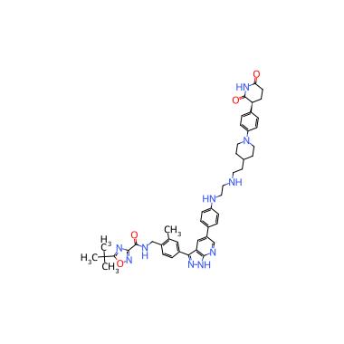 Cc1cc(-c2n[nH]c3ncc(-c4ccc(NCCNCCC5CCN(c6ccc([C@@H]7CCC(=O)NC7=O)cc6)CC5)cc4)cc23)ccc1CNC(=O)c1noc(C(C)(C)C)n1